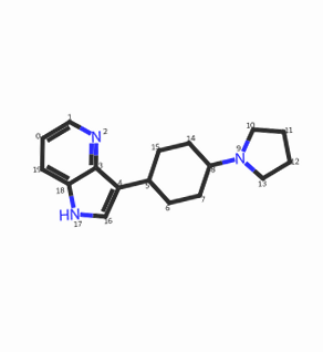 c1cnc2c(C3CCC(N4CCCC4)CC3)c[nH]c2c1